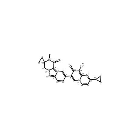 CN1C(=O)c2c3cc(-c4cn5ccc(C6CC6)nc5c(Br)c4=O)ccc3nn2CC12CC2